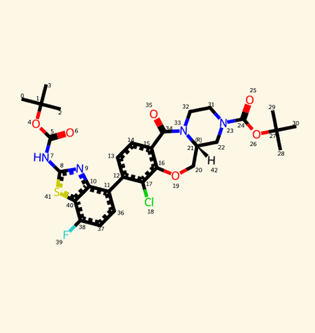 CC(C)(C)OC(=O)Nc1nc2c(-c3ccc4c(c3Cl)OC[C@H]3CN(C(=O)OC(C)(C)C)CCN3C4=O)ccc(F)c2s1